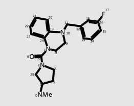 CNC1CCN(C(=O)N2CCN(Cc3cccc(F)c3)c3ccccc32)C1